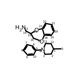 CC1CCN(c2ccccc2)CC1.NCC1COc2ccccc2O1